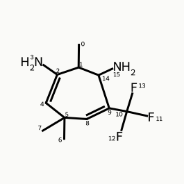 CC1C(N)=CC(C)(C)C=C(C(F)(F)F)C1N